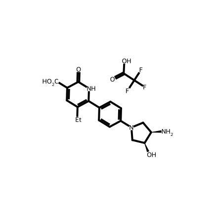 CCc1cc(C(=O)O)c(=O)[nH]c1-c1ccc(N2C[C@@H](N)[C@@H](O)C2)cc1.O=C(O)C(F)(F)F